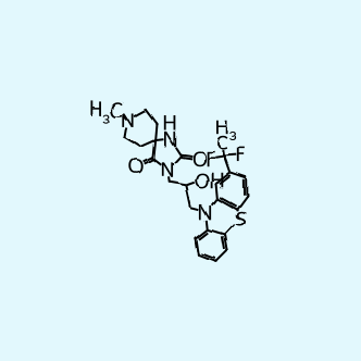 CN1CCC2(CC1)NC(=O)N(CC(O)CN1c3ccccc3Sc3ccc(C(C)(F)F)cc31)C2=O